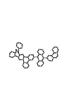 c1ccc(-n2c3ccccc3c3cc4c5ccccc5c5cc(-c6c7ccccc7c(-c7ccc8ccc9ccccc9c8c7)c7ccccc67)ccc5c4cc32)cc1